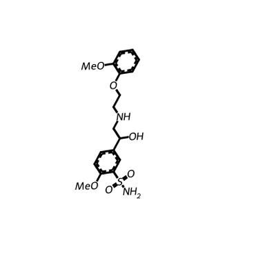 COc1ccccc1OCCNCC(O)c1ccc(OC)c(S(N)(=O)=O)c1